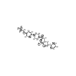 O=CN(O)C(CCc1ncccn1)CS(=O)(=O)N1CCN(c2ccc(OCC(F)(F)F)cn2)CC1